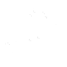 CCOc1cc(-c2ccc(N3CC[C@@H](c4ccccc4C(N)=O)[C@@H](O)C3)nc2)c2c3cn[nH]c3nn2c1